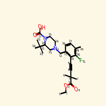 CCOC(=O)C(C)(C)C#Cc1c(CN2CCN(C(=O)O)C(C(C)(C)C)C2)ccc(C)c1F